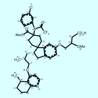 COC(=O)C1(N(C(=O)C(F)(F)F)c2cccc(Cl)c2)CCC2(CC1)c1cc(OCC(CC(=O)O)OC)ccc1C[C@@H]2C[C@@H](C)COc1ccnc2c1[C@H](C)CCC2